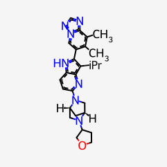 Cc1c(-c2[nH]c3ccc(N4C[C@H]5C[C@@H]4CN5C4CCOC4)nc3c2C(C)C)cn2ncnc2c1C